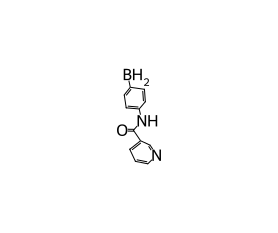 Bc1ccc(NC(=O)c2cccnc2)cc1